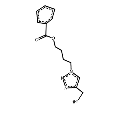 C[C](C)Cc1cn(CCCCOC(=O)c2ccccc2)nn1